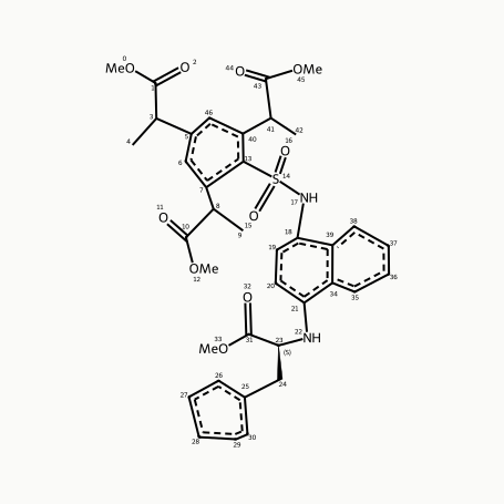 COC(=O)C(C)c1cc(C(C)C(=O)OC)c(S(=O)(=O)Nc2ccc(N[C@@H](Cc3ccccc3)C(=O)OC)c3ccccc23)c(C(C)C(=O)OC)c1